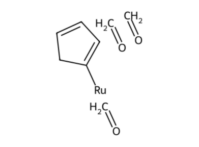 C=O.C=O.C=O.[Ru][C]1=CC=CC1